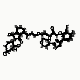 O=C(COc1c(-c2csc(N3CCOCC3)n2)ccc(F)c1F)NCCOCCNc1cccc2c1C(=O)N(C1CCC(=O)NC1=O)C2=O